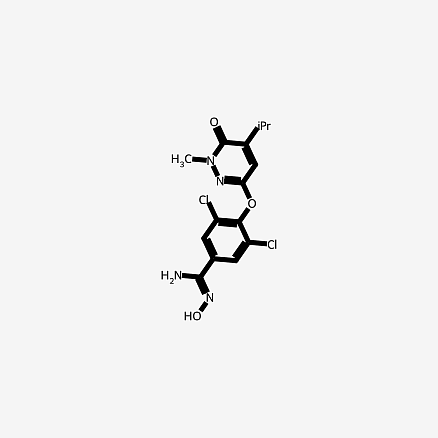 CC(C)c1cc(Oc2c(Cl)cc(/C(N)=N/O)cc2Cl)nn(C)c1=O